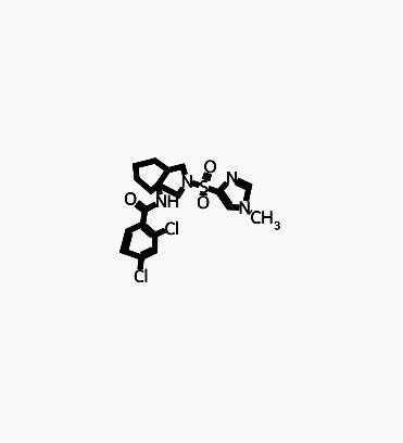 Cn1cnc(S(=O)(=O)N2CC3CCCCC3(NC(=O)c3ccc(Cl)cc3Cl)C2)c1